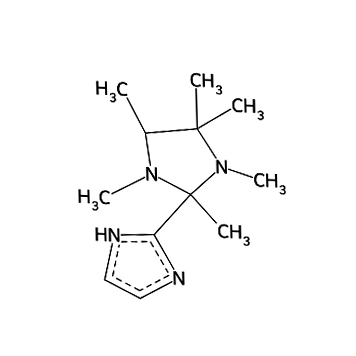 CC1N(C)C(C)(c2ncc[nH]2)N(C)C1(C)C